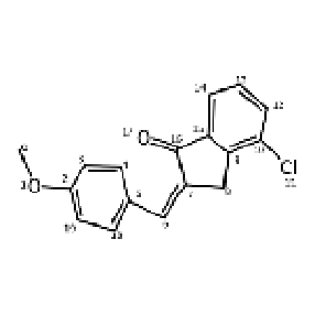 COc1ccc(C=C2Cc3c(Cl)cccc3C2=O)cc1